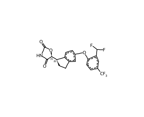 O=C1NC(=O)[C@H]([C@@H]2CCc3cc(Oc4ccc(C(F)(F)F)cc4C(F)F)ccc32)O1